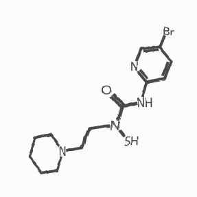 O=C(Nc1ccc(Br)cn1)N(S)CCN1CCCCC1